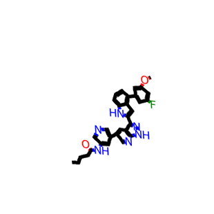 CCCCC(=O)Nc1cncc(-c2cnc3[nH]nc(-c4cc5c(-c6cc(F)cc(OC)c6)cccc5[nH]4)c3c2)c1